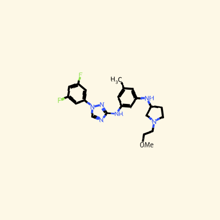 COCCN1CCC(Nc2cc(C)cc(Nc3ncn(-c4cc(F)cc(F)c4)n3)c2)C1